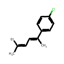 CC/C(C)=C\C=C(/C)c1ccc(Cl)cc1